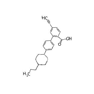 C#Cc1ccc(C(=O)O)c(-c2ccc(C3CCC(CCC)CC3)cc2)c1